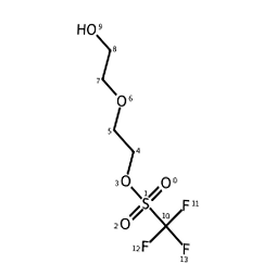 O=S(=O)(OCCOCCO)C(F)(F)F